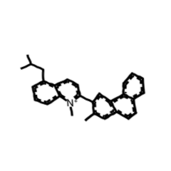 Cc1cc2ccc3ccccc3c2cc1-c1ccc2c(CC(C)C)cccc2[n+]1C